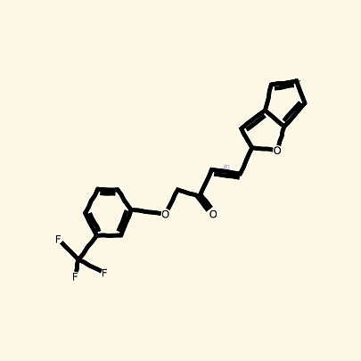 O=C(/C=C/C1C=C2C=[C]C=C2O1)COc1cccc(C(F)(F)F)c1